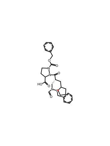 O=CN(C[C@@H](CC1CCCC1)C(=O)N1C(C(=O)O)CCN1C(=O)OCc1ccccc1)OCc1ccccc1